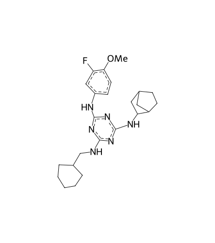 COc1ccc(Nc2nc(NCC3CCCCC3)nc(NC3CC4CCC3C4)n2)cc1F